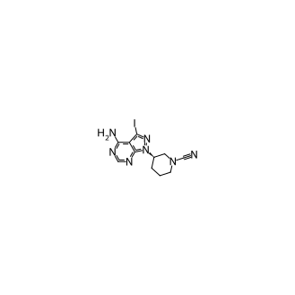 N#CN1CCC[C@@H](n2nc(I)c3c(N)ncnc32)C1